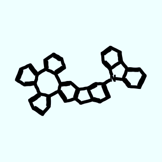 c1ccc2c(c1)-c1ccccc1-c1cc3c(cc1-c1ccccc1-2)-c1cc(-n2c4ccccc4c4ccccc42)ccc1C3